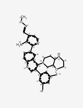 CON=Cc1ccnc(-c2ccc3ncc(-c4cc(F)cc(F)c4)c(N4CCC5NCCOC5C4)c3c2)c1N